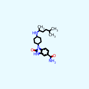 CC(C)CCC(C)NC1CCC(n2c(=O)[nH]c3cc(C(N)=O)ccc32)CC1